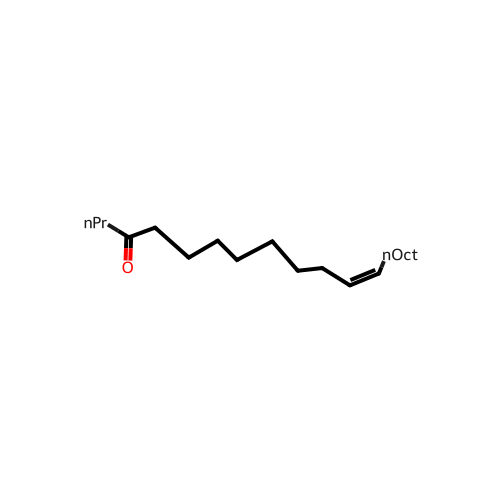 CCCCCCCC/C=C\CCCCCCCC(=O)CCC